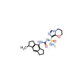 CC1CCc2c1cc1c(c2NC(=O)N=S(N)(=O)c2ncn3c2OCCC3)CCC1